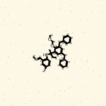 CCC(C)(Pc1ccc(F)cc1/C=N/C)c1cc(Cc2ccccc2)cc(Cc2ccccc2)c1OCOC